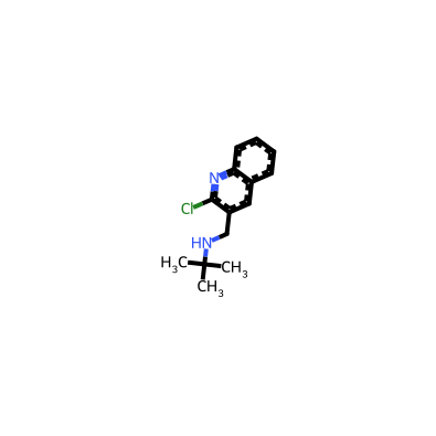 CC(C)(C)NCc1cc2ccccc2nc1Cl